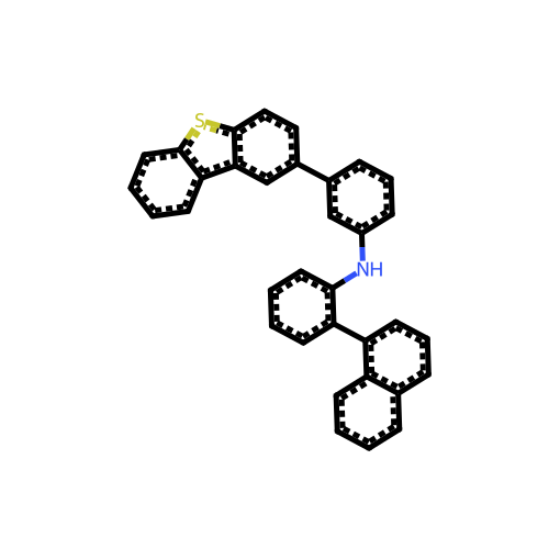 c1cc(Nc2ccccc2-c2cccc3ccccc23)cc(-c2ccc3sc4ccccc4c3c2)c1